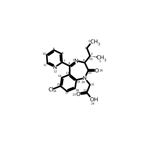 CC[C@H](C)C1N=C(c2ccccn2)c2cc(Cl)ccc2N(CC(=O)O)C1=O